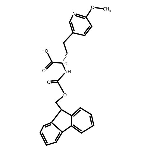 COc1ccc(CC[C@H](NC(=O)OCC2c3ccccc3-c3ccccc32)C(=O)O)cn1